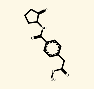 CC(C)(C)OC(=O)Cc1ccc(C(=O)NC2CCCC2=O)cc1